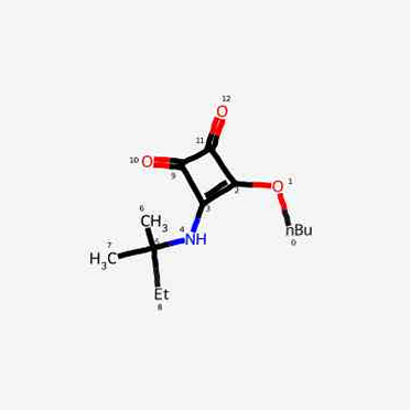 CCCCOc1c(NC(C)(C)CC)c(=O)c1=O